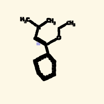 CCO/C(=C\N(C)C)c1ccccc1